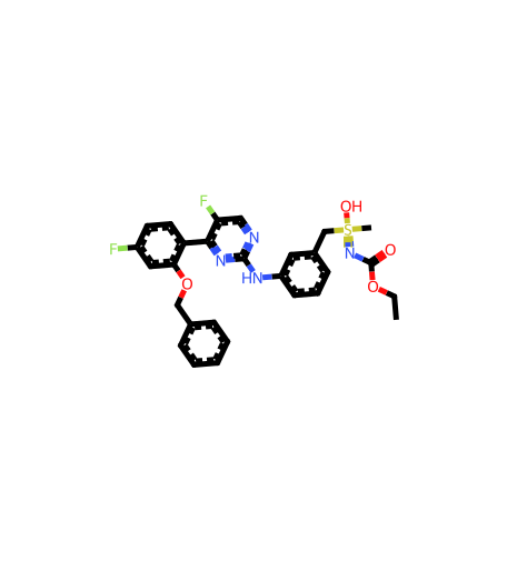 CCOC(=O)N=[SH](C)(O)Cc1cccc(Nc2ncc(F)c(-c3ccc(F)cc3OCc3ccccc3)n2)c1